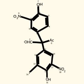 CC(=O)C([C]=O)(c1ccc(O)c([N+](=O)[O-])c1)c1cc(I)c(O)c([N+](=O)[O-])c1